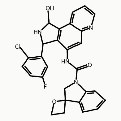 O=C(Nc1cc2ncccc2c2c1C(c1cc(F)ccc1Cl)NC2O)N1CC2(CCO2)c2ccccc21